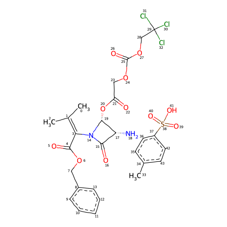 CC(C)=C(C(=O)OCc1ccccc1)N1C(=O)[C@@H](N)[C@H]1OC(=O)COC(=O)OCC(Cl)(Cl)Cl.Cc1ccc(S(=O)(=O)O)cc1